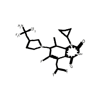 CC1c2c(c(=O)[nH]c(=O)n2C2CC2)C(C(F)F)=C(F)C1N1CCC(C(N)(C(F)(F)F)C(F)(F)F)C1